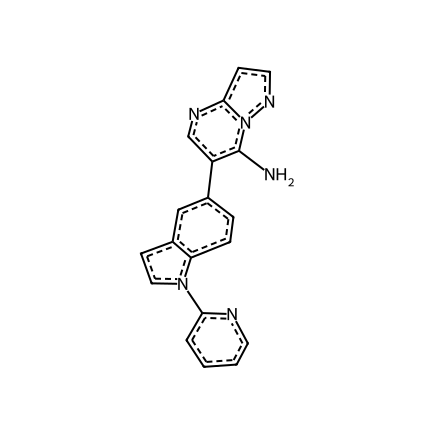 Nc1c(-c2ccc3c(ccn3-c3ccccn3)c2)cnc2ccnn12